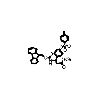 Cc1ccc(S(=O)(=O)Oc2ccc(C(CC(=O)OC(C)(C)C)NC(=O)OCC3c4ccccc4-c4ccccc43)cc2)cc1